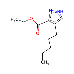 CCCCCc1c[nH]nc1C(=O)OCC